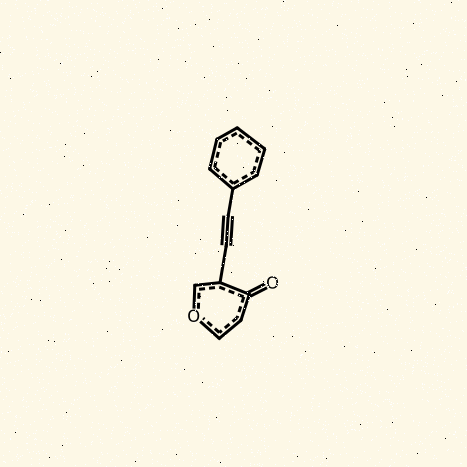 O=c1ccocc1C#Cc1ccccc1